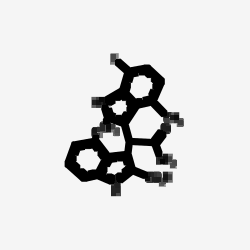 Cc1[nH]c2c(F)ccc(C)c2c1C(C(N)=O)c1c(C(=O)O)[nH]c2cccc(Cl)c12